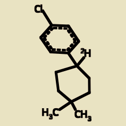 [2H]C1(c2ccc(Cl)cc2)CCC(C)(C)CC1